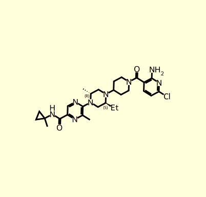 CC[C@H]1CN(c2ncc(C(=O)NC3(C)CC3)nc2C)[C@H](C)CN1C1CCN(C(=O)c2ccc(Cl)nc2N)CC1